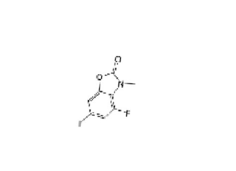 Cn1c(=O)oc2cc(I)cc(F)c21